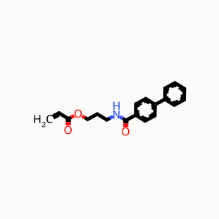 C=CC(=O)OCCCNC(=O)c1ccc(-c2ccccc2)cc1